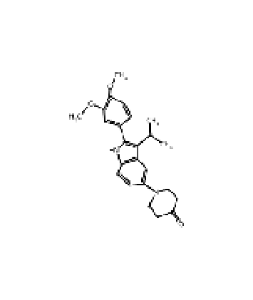 COc1ccc(-c2[nH]c3ccc(N4CCC(=O)CC4)cc3c2C(C)C)cc1OC